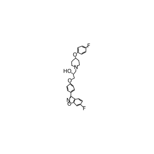 O[C@H](COc1ccc(-c2noc3cc(F)ccc23)cc1)CN1CCC(Oc2ccc(F)cc2)CC1